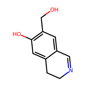 OCc1cc2c(cc1O)CCN=C2